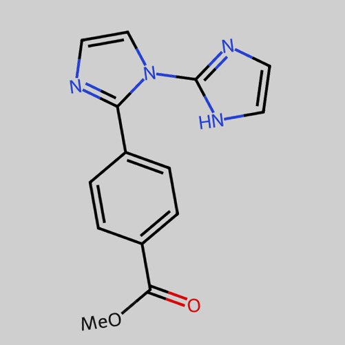 COC(=O)c1ccc(-c2nccn2-c2ncc[nH]2)cc1